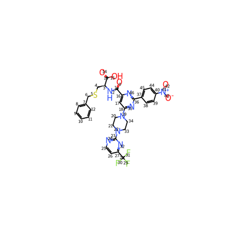 O=C(N[C@@H](CSCc1ccccc1)C(=O)O)c1cc(N2CCN(c3nccc(C(F)(F)F)n3)CC2)nc(-c2ccc([N+](=O)[O-])cc2)n1